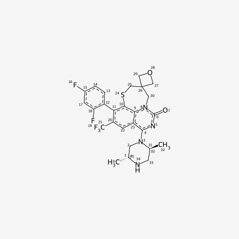 C[C@@H]1CN(c2nc(=O)n3c4c(c(-c5ccc(F)cc5F)c(C(F)(F)F)cc24)SCC2(COC2)C3)[C@@H](C)CN1